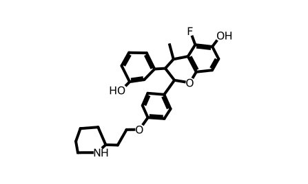 CC1c2c(ccc(O)c2F)OC(c2ccc(OCCC3CCCCN3)cc2)C1c1cccc(O)c1